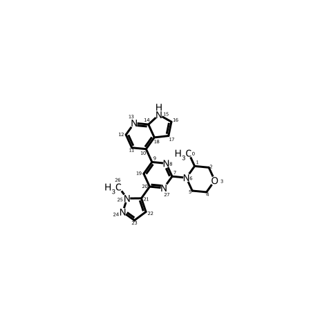 CC1COCCN1c1nc(-c2ccnc3[nH]ccc23)cc(-c2ccnn2C)n1